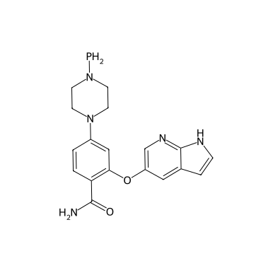 NC(=O)c1ccc(N2CCN(P)CC2)cc1Oc1cnc2[nH]ccc2c1